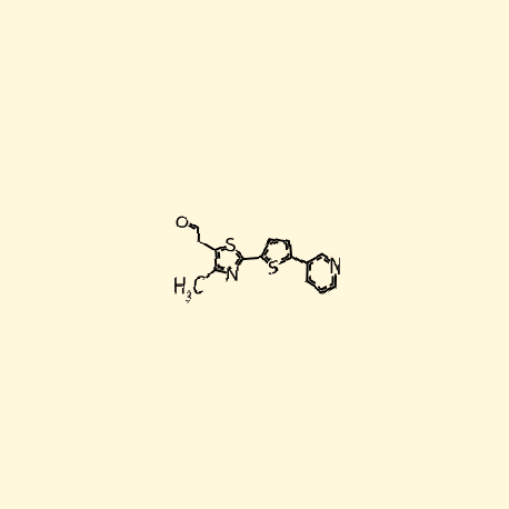 Cc1nc(-c2ccc(-c3cccnc3)s2)sc1CC=O